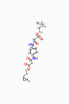 CCCCOC(=O)CC(=O)Nc1ccc(NC(=O)CC(=O)OCCCC)cc1